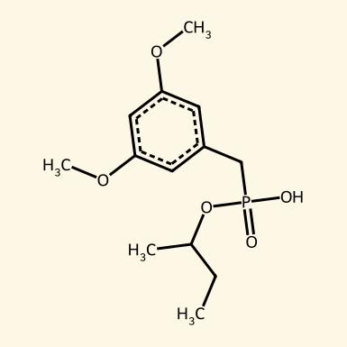 CCC(C)OP(=O)(O)Cc1cc(OC)cc(OC)c1